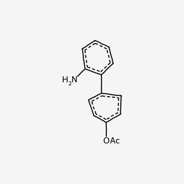 CC(=O)Oc1ccc(-c2ccccc2N)cc1